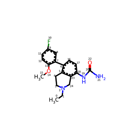 CCN1CCc2c(-c3cc(F)ccc3OC)ccc(NC(N)=O)c2C1